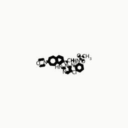 COc1ccc2c(c1Nc1ncc(Cl)c(N[C@@H]3CCCC[C@H]3NS(C)(=O)=O)n1)CCC(N1CCOCC1)CC2